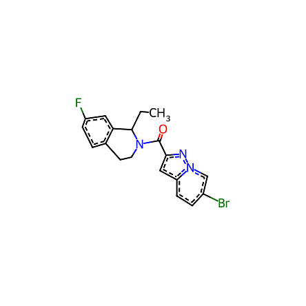 CCC1c2cc(F)ccc2CCN1C(=O)c1cc2ccc(Br)cn2n1